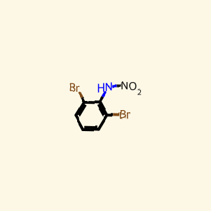 O=[N+]([O-])Nc1c(Br)cccc1Br